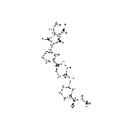 Cn1c(-c2cccc(N3CCN(CC4CCCN(C(=O)OC(C)(C)C)C4)CC3)c2)nc2ccccc21